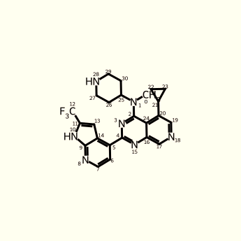 CN(c1nc(-c2ccnc3[nH]c(C(F)(F)F)cc23)nc2cncc(C3CC3)c12)C1CCNCC1